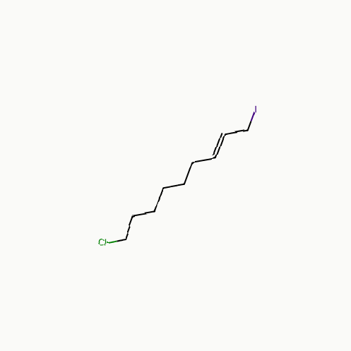 ClCCCCCCC=CCI